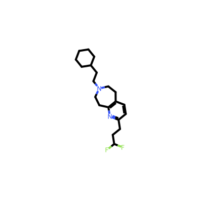 FC(F)CCc1ccc2c(n1)CCN(CCC1CCCCC1)CC2